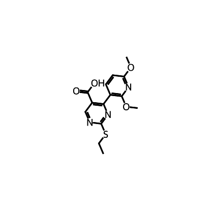 CCSc1ncc(C(=O)O)c(-c2ccc(OC)nc2OC)n1